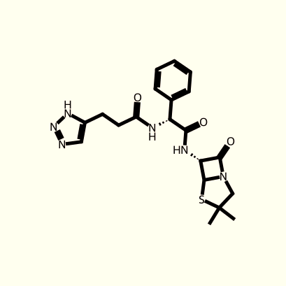 CC1(C)CN2C(=O)[C@@H](NC(=O)[C@H](NC(=O)CCc3cnn[nH]3)c3ccccc3)C2S1